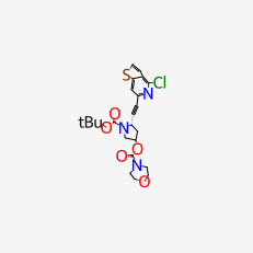 CC(C)(C)OC(=O)N1C[C@H](OC(=O)N2CCOCC2)C[C@H]1C#Cc1cc2sccc2c(Cl)n1